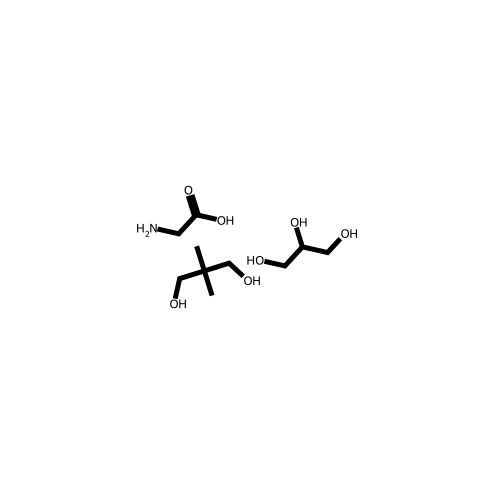 CC(C)(CO)CO.NCC(=O)O.OCC(O)CO